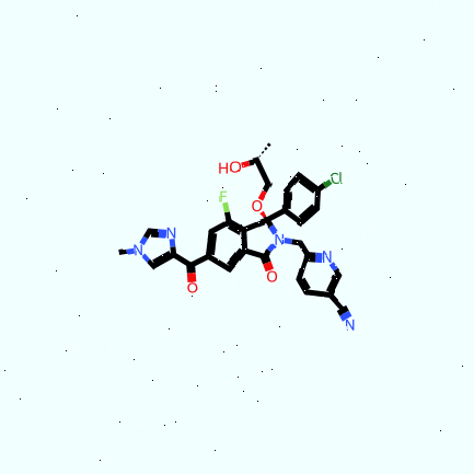 C[C@@H](O)CO[C@]1(c2ccc(Cl)cc2)c2c(F)cc(C(=O)c3cn(C)cn3)cc2C(=O)N1Cc1ccc(C#N)cn1